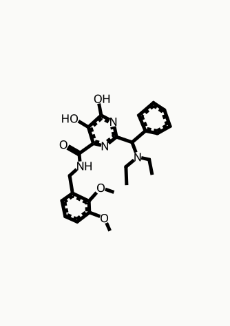 CCN(CC)C(c1ccccc1)c1nc(O)c(O)c(C(=O)NCc2cccc(OC)c2OC)n1